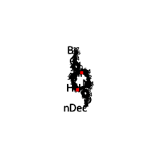 CCCCCCCCCCCCOc1ccc(-c2c3nc(cc4ccc([nH]4)c(-c4ccc(OCCCBr)cc4)c4nc(cc5ccc2[nH]5)C=C4)C=C3)cc1